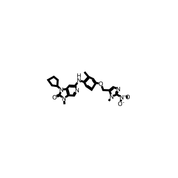 Cc1cc(OCc2cnc([N+](=O)[O-])n2C)ccc1Nc1cc2c(cn1)n(C)c(=O)n2C1CCCC1